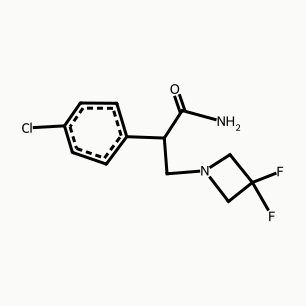 NC(=O)C(CN1CC(F)(F)C1)c1ccc(Cl)cc1